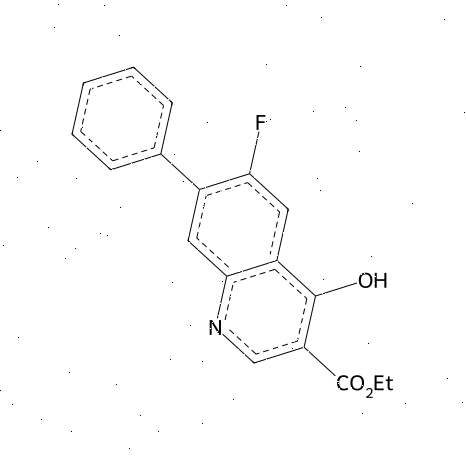 CCOC(=O)c1cnc2cc(-c3ccccc3)c(F)cc2c1O